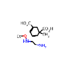 CC1(C(=O)O)C=CC=C(C(=O)O)C1.CCONCCN